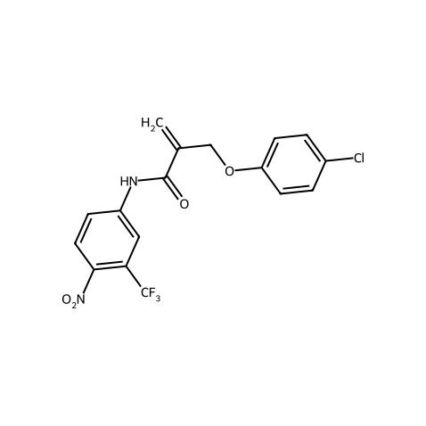 C=C(COc1ccc(Cl)cc1)C(=O)Nc1ccc([N+](=O)[O-])c(C(F)(F)F)c1